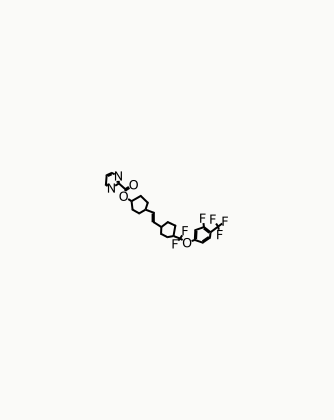 O=C(OC1CCC(/C=C/C2CCC(C(F)(F)Oc3ccc(C(F)(F)F)c(F)c3)CC2)CC1)c1ncccn1